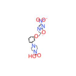 C[C@]1(COc2cccc(N3CCN(C(=O)O)CC3)c2)Cn2cc([N+](=O)[O-])nc2O1